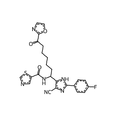 N#Cc1nc(-c2ccc(F)cc2)[nH]c1C(CCCCCC(=O)c1ncco1)NC(=O)c1cncs1